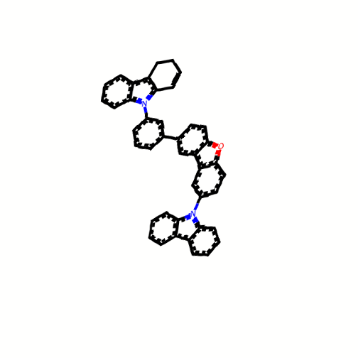 C1=Cc2c(c3ccccc3n2-c2cccc(-c3ccc4oc5ccc(-n6c7ccccc7c7ccccc76)cc5c4c3)c2)CC1